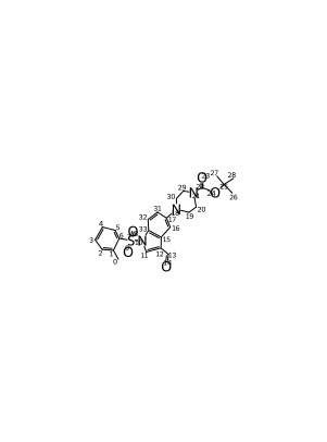 Cc1ccccc1S(=O)(=O)n1cc(C=O)c2cc(N3CCN(C(=O)OC(C)(C)C)CC3)ccc21